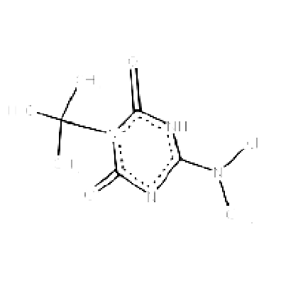 CN(C)c1nc(=O)n(C(C)(C)C)c(=O)[nH]1